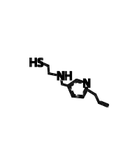 C=CCc1ccc(CNCCS)cn1